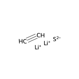 C#C.[Li+].[Li+].[S-2]